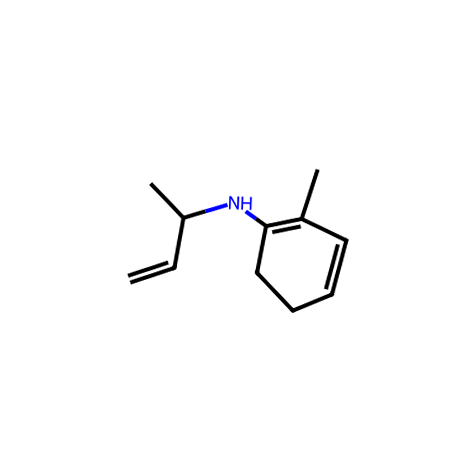 C=CC(C)NC1=C(C)C=CCC1